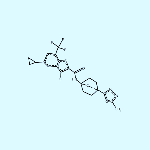 Cc1nnc(C23CCC(NC(=O)c4oc5c(C(F)(F)F)cc(C6CC6)cc5c4Cl)(CC2)CC3)o1